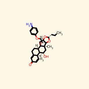 CCC[C@H]1O[C@@H]2CC3[C@@H]4CCC5=CC(=O)C=C[C@]5(C)C4[C@@H](O)C[C@]3(C)[C@]2(C(=O)COc2ccc(N)cc2)O1